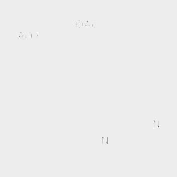 CC(=O)OCC(C=Cc1cnccn1)OC(C)=O